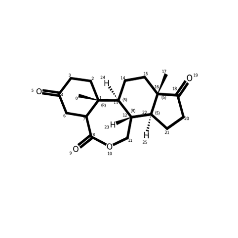 C[C@]12CCC(=O)CC1C(=O)OC[C@@H]1[C@@H]2CC[C@]2(C)C(=O)CC[C@@H]12